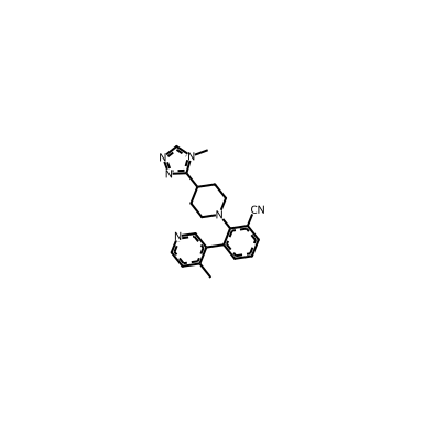 Cc1ccncc1-c1cccc(C#N)c1N1CCC(c2nncn2C)CC1